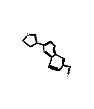 O=Cc1ccc2nc(C3CCOC3)ccc2c1